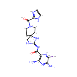 Nc1nc(N)c(C(=O)/N=C2\NCC3(CCN(C(=O)c4ncc[nH]4)CC3)N2)nc1I